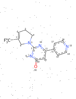 Cn1c(N2CCC=C(C(F)(F)F)C2)nc(-c2ccncc2)cc1=O